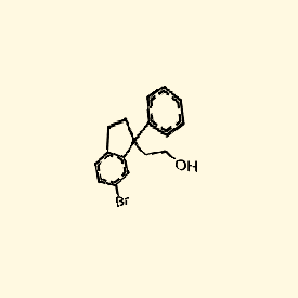 OCCC1(c2ccccc2)CCc2ccc(Br)cc21